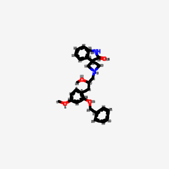 COc1ccc(CC(CN2CC3(C2)C(=O)Nc2ccccc23)OC)c(OCc2ccccc2)c1